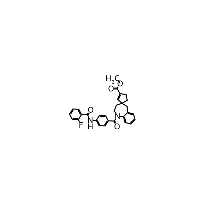 COC(=O)C1=CC2(CC1)CCN(C(=O)c1ccc(NC(=O)c3ccccc3F)cc1)c1ccccc1C2